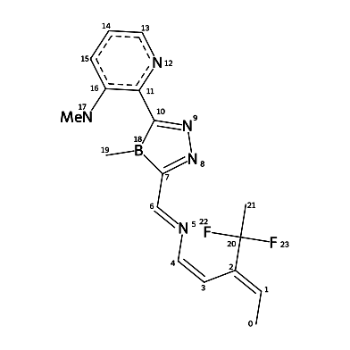 C\C=C(/C=C\N=C\C1=NN=C(c2ncccc2NC)B1C)C(C)(F)F